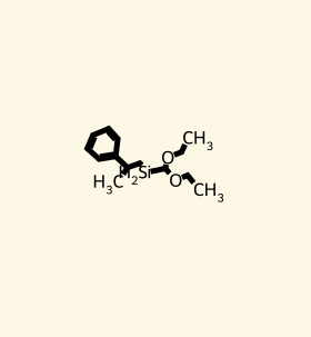 CCOC(OCC)[SiH2]CC(C)c1ccccc1